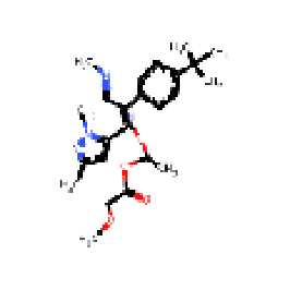 C/N=C/C(=C(/OC(C)OC(=O)COC)c1cc(C)nn1C)c1ccc(C(C)(C)C)cc1